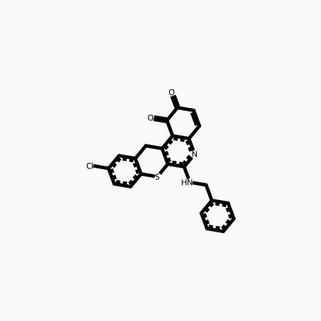 O=C1C=Cc2nc(NCc3ccccc3)c3c(c2C1=O)Cc1cc(Cl)ccc1S3